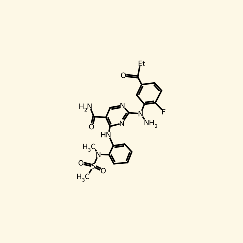 CCC(=O)c1ccc(F)c(N(N)c2ncc(C(N)=O)c(Nc3ccccc3N(C)S(C)(=O)=O)n2)c1